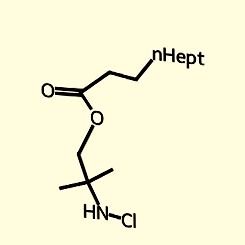 CCCCCCCCCC(=O)OCC(C)(C)NCl